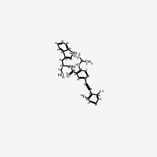 CC(C)Oc1ccc(C#Cc2c(F)cccc2F)cc1C(=O)N[C@@H](CO)Cc1c[nH]c2ccccc12